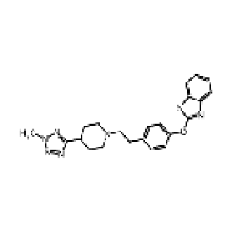 Cn1nnc(C2CCN(CCc3ccc(Oc4nc5ccccc5s4)cc3)CC2)n1